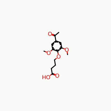 COc1cc(C(C)=O)cc(OC)c1OCCCC(=O)O